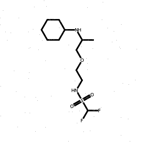 CC(COCCNS(=O)(=O)C(F)F)NC1CCCCC1